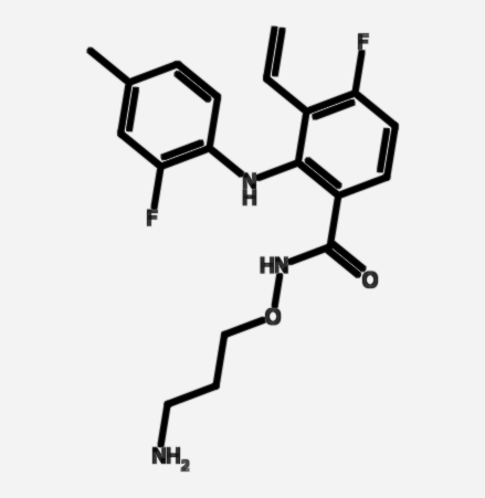 C=Cc1c(F)ccc(C(=O)NOCCCN)c1Nc1ccc(C)cc1F